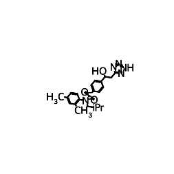 Cc1ccc(N(CC(C)C)S(=O)(=O)c2ccc(C(O)Cc3nn[nH]n3)cc2)c(C)c1